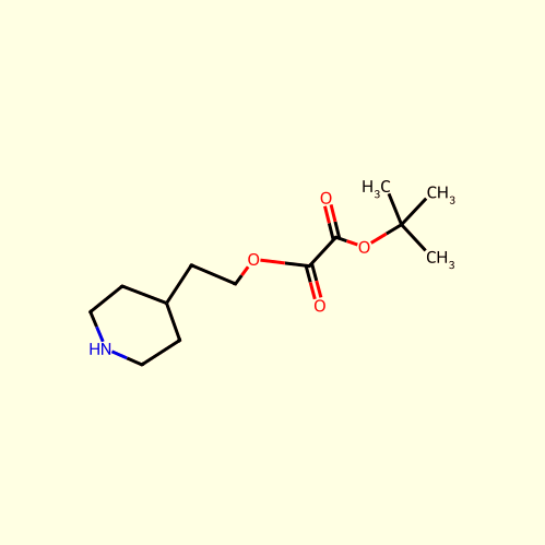 CC(C)(C)OC(=O)C(=O)OCCC1CCNCC1